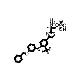 C[C@](N)(COP(=O)(O)O)c1nc(-c2ccc(Sc3cccc(OCc4ccccc4)c3)c(C(F)(F)F)c2)cs1